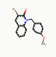 COc1ccc(Cn2c(=O)c(Br)cc3ccccc32)cc1